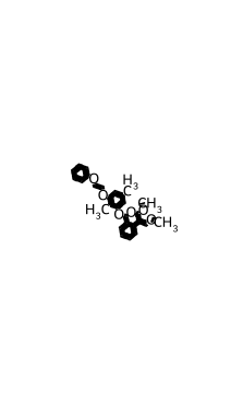 COC=C(C(=O)OC)c1ccccc1COc1cc(C)cc(OCCOc2ccccc2)c1C